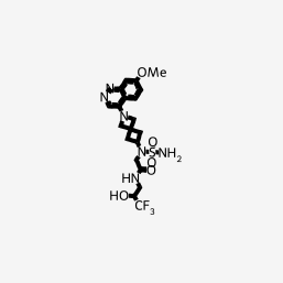 COc1ccc2c(N3CC4(CC(N(CC(=O)NCC(O)C(F)(F)F)S(N)(=O)=O)C4)C3)cnnc2c1